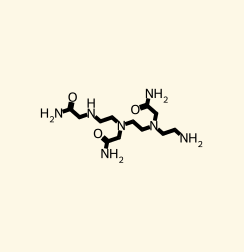 NCCN(CCN(CCNCC(N)=O)CC(N)=O)CC(N)=O